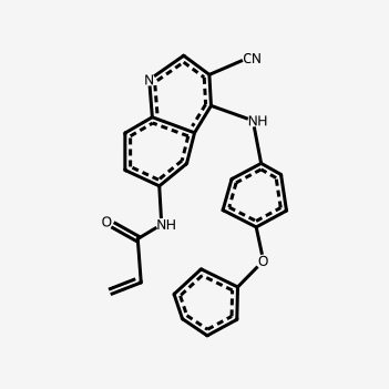 C=CC(=O)Nc1ccc2ncc(C#N)c(Nc3ccc(Oc4ccccc4)cc3)c2c1